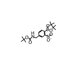 CC(C)(C)OC(=O)NCc1ccc(B2OC(C)(C)C(C)(C)O2)c([N+](=O)[O-])c1